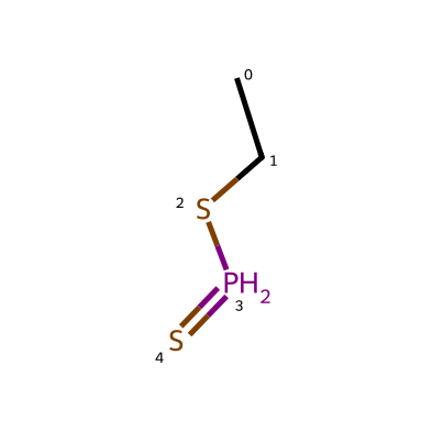 CCS[PH2]=S